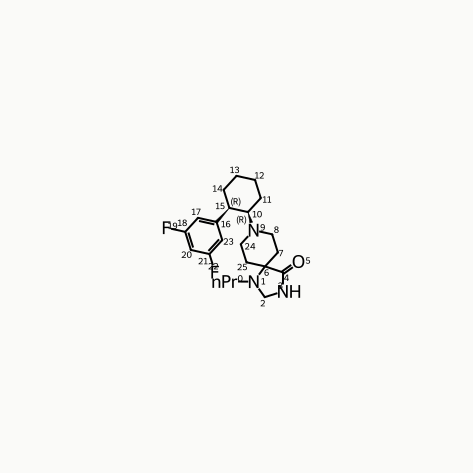 CCCN1CNC(=O)C12CCN([C@@H]1CCCC[C@@H]1c1cc(F)cc(F)c1)CC2